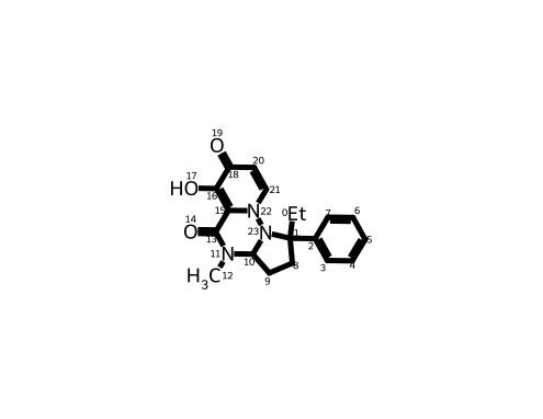 CCC1(c2ccccc2)CCC2N(C)C(=O)c3c(O)c(=O)ccn3N21